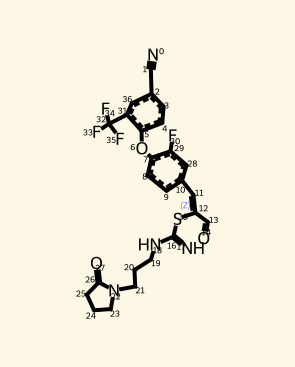 N#Cc1ccc(Oc2ccc(/C=C(/C=O)SC(=N)NCCCN3CCCC3=O)cc2F)c(C(F)(F)F)c1